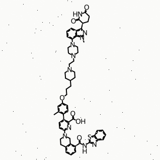 Cc1cc(OCCCC2CCN(CCN3CCN(c4cccc5c(C6CCC(=O)NC6=O)nn(C)c45)CC3)CC2)ccc1-c1ccc(N2CCc3cccc(C(=O)Nc4nc5ccccc5s4)c3C2)nc1C(=O)O